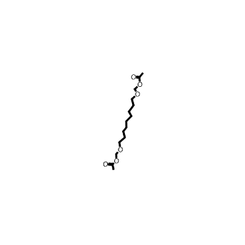 CC(=O)OCOCCCCCCCCCOCOC(C)=O